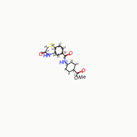 COC(=O)C1CCC(NC(=O)c2ccc3c(c2)NC(=O)CS3)CC1